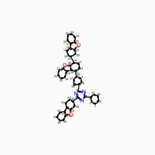 c1ccc(-c2nc(-c3ccc(-c4ccc(-c5ccc6c(c5)oc5ccccc56)c5oc6ccccc6c45)cc3)nc(-c3ccc4c(c3)oc3ccccc34)n2)cc1